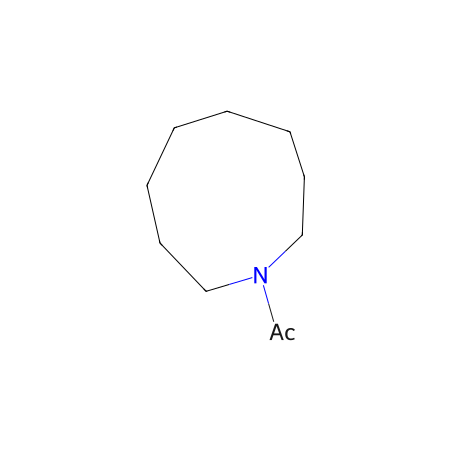 [CH2]C(=O)N1CCCCCCCC1